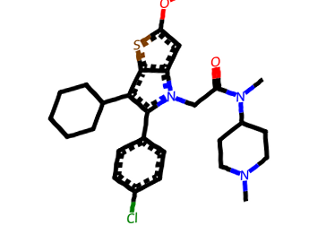 CN1CCC(N(C)C(=O)Cn2c(-c3ccc(Cl)cc3)c(C3CCCCC3)c3sc(OC(=O)O)cc32)CC1